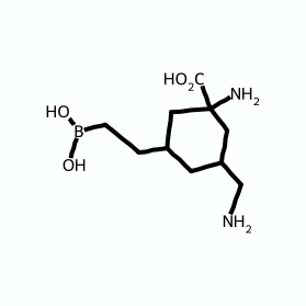 NCC1CC(CCB(O)O)CC(N)(C(=O)O)C1